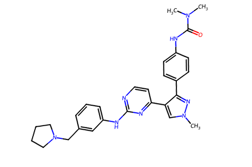 CN(C)C(=O)Nc1ccc(-c2nn(C)cc2-c2ccnc(Nc3cccc(CN4CCCC4)c3)n2)cc1